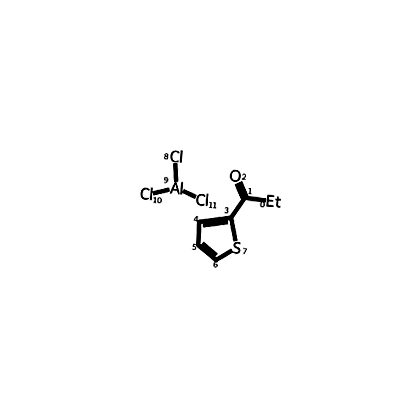 CCC(=O)c1cccs1.[Cl][Al]([Cl])[Cl]